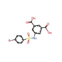 O=C(O)c1cc(NS(=O)(=O)c2ccc(Br)cc2)cc(C(=O)O)c1